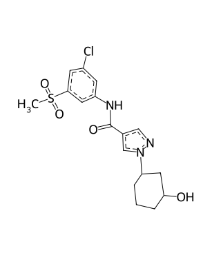 CS(=O)(=O)c1cc(Cl)cc(NC(=O)c2cnn(C3CCCC(O)C3)c2)c1